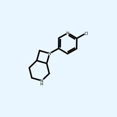 Clc1ccc(N2CC3CCNCC32)cn1